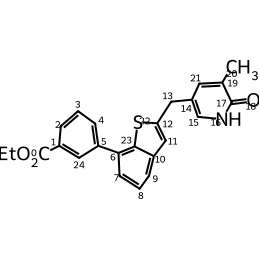 CCOC(=O)c1cccc(-c2cccc3cc(Cc4c[nH]c(=O)c(C)c4)sc23)c1